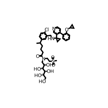 CC(CCCC(=O)N(CCS(C)(=O)=O)C[C@@H](O)[C@H](O)[C@@H](O)[C@@H](O)CO)c1ccc(Cl)c(CNC2(c3cnccc3-c3ccccc3OC3CC3)CC2)c1